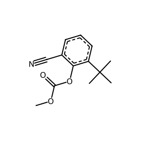 COC(=O)Oc1c(C#N)cccc1C(C)(C)C